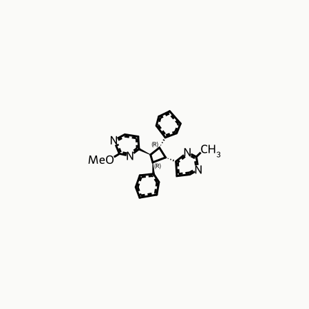 COc1nccc([C@H]2[C@H](c3ccccc3)[C@H](c3ccnc(C)n3)[C@H]2c2ccccc2)n1